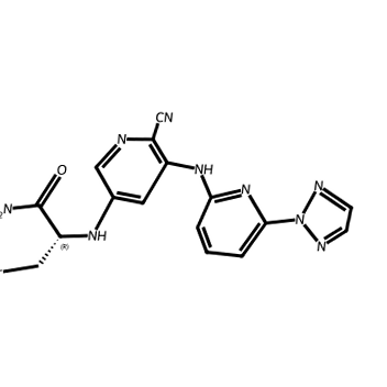 CC(C)C[C@@H](Nc1cnc(C#N)c(Nc2cccc(-n3nccn3)n2)c1)C(N)=O